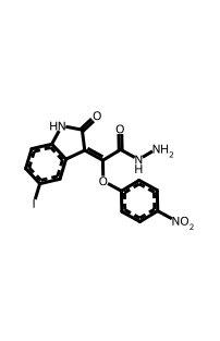 NNC(=O)C(Oc1ccc([N+](=O)[O-])cc1)=C1C(=O)Nc2ccc(I)cc21